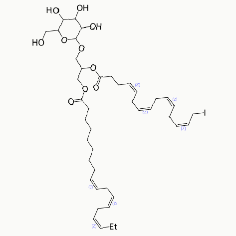 CC/C=C\C/C=C\C/C=C\CCCCCCCC(=O)OCC(COC1OC(CO)C(O)C(O)C1O)OC(=O)CC/C=C\C/C=C\C/C=C\C/C=C\CI